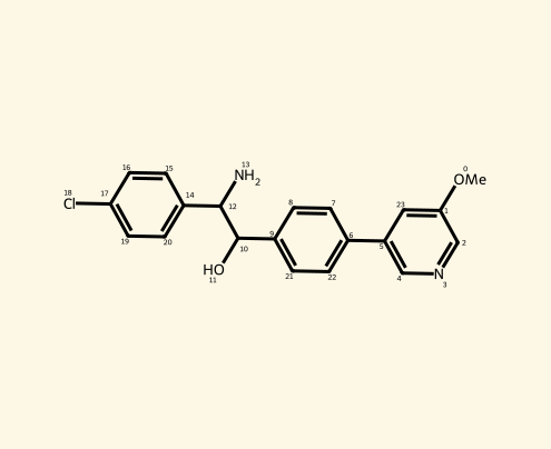 COc1cncc(-c2ccc(C(O)C(N)c3ccc(Cl)cc3)cc2)c1